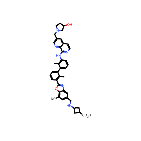 Cc1c(Nc2nccc3cc(CN4CCC(O)C4)cnc23)cccc1-c1cccc(-c2nc3cc(CNC4CC(C(=O)O)C4)cc(C#N)c3o2)c1C